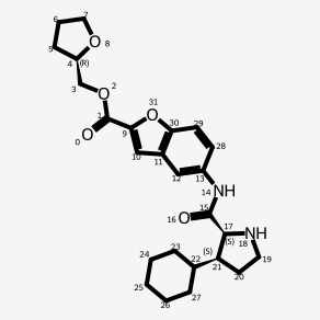 O=C(OC[C@H]1CCCO1)c1cc2cc(NC(=O)[C@H]3NCC[C@H]3C3CCCCC3)ccc2o1